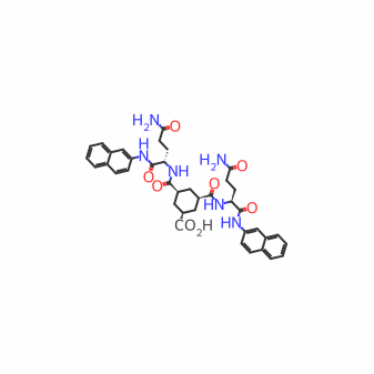 NC(=O)CC[C@H](NC(=O)[C@@H]1C[C@H](C(=O)O)C[C@H](C(=O)N[C@@H](CCC(N)=O)C(=O)Nc2ccc3ccccc3c2)C1)C(=O)Nc1ccc2ccccc2c1